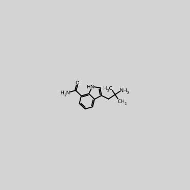 CC(C)(N)Cc1c[nH]c2c(C(N)=O)cccc12